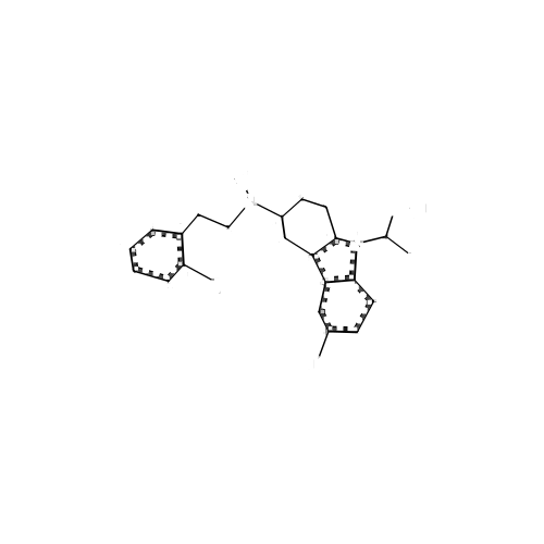 CCC(C(=O)O)n1c2c(c3cc(F)ccc31)CC(N(CCc1ccccc1F)C(C)=O)CC2